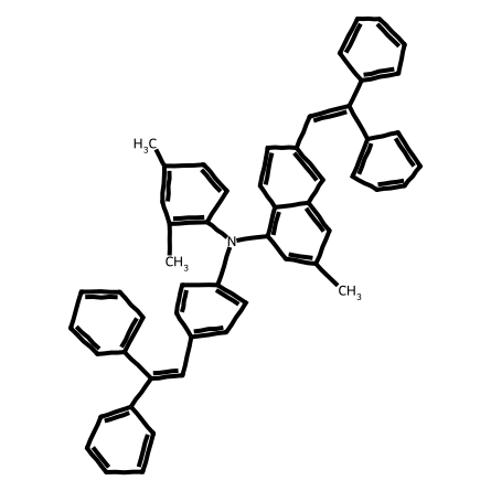 Cc1ccc(N(c2ccc(C=C(c3ccccc3)c3ccccc3)cc2)c2cc(C)cc3cc(C=C(c4ccccc4)c4ccccc4)ccc23)c(C)c1